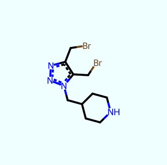 BrCc1nnn(CC2CCNCC2)c1CBr